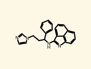 c1ccc(C(CCn2ccnc2)NC2=Nc3cccc4cccc2c34)cc1